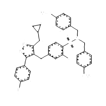 COc1ccc(CN(Cc2ccc(OC)cc2)S(=O)(=O)c2ccc(Cc3c(-c4ccc(F)cc4)n[nH]c3CC3CC3)cc2Cl)cc1